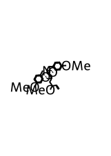 C=CC(CCS(=O)(=O)N(Cc1ccc(OC)cc1)Cc1ccc(OC)cc1)OC